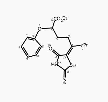 CCCC(CCC(Oc1ccccc1)C(=O)OCC)=C1SC(=S)NC1=O